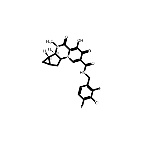 CN1C(=O)c2c(O)c(=O)c(C(=O)NCc3ccc(F)c(Cl)c3F)cn2C2CC3C[C@@H]3[C@H]21